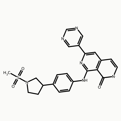 CS(=O)(=O)N1CCC(c2ccc(Nc3nc(-c4cncnc4)cc4c3C(=O)[N]C=C4)cc2)C1